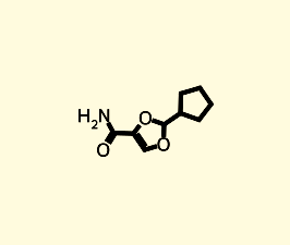 NC(=O)C1=COC(C2CCCC2)O1